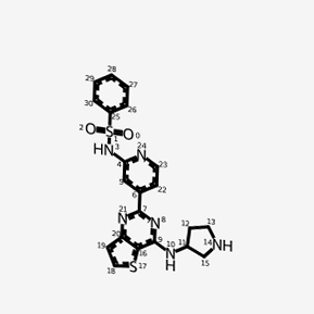 O=S(=O)(Nc1cc(-c2nc(NC3CCNC3)c3sccc3n2)ccn1)c1ccccc1